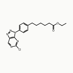 CCOC(=O)CCCCCc1ccc(-n2nnc3cnc(Cl)nc32)cc1